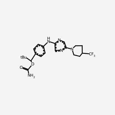 CC(C)(C)C(OC(N)=O)c1ccc(Nc2cnc(N3CCC(C(F)(F)F)CC3)cn2)cc1